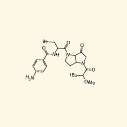 COC(C(=O)N1CC(=O)C2C1CCN2C(=O)C(CC(C)C)NC(=O)c1ccc(N)cc1)C(C)(C)C